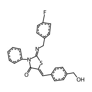 O=C1C(=Cc2ccc(CO)cc2)SC(=NCc2ccc(F)cc2)N1c1ccccc1